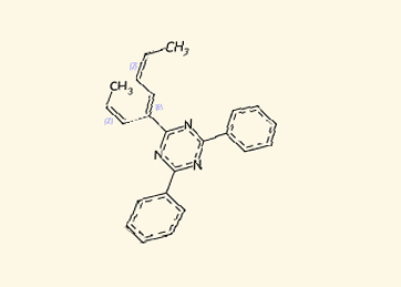 C\C=C/C=C(\C=C/C)c1nc(-c2ccccc2)nc(-c2ccccc2)n1